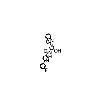 O=C(N[C@@H]1CN(c2nc3ccccc3o2)C[C@H]1O)c1ccc(-c2cccc(F)c2)nc1